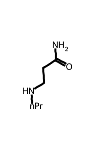 CCCNCCC(N)=O